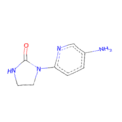 Nc1ccc(N2CCNC2=O)nc1